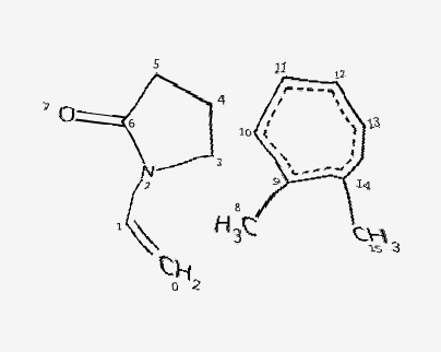 C=CN1CCCC1=O.Cc1ccccc1C